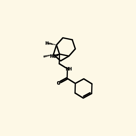 C[C@H]1CC2CCC[C@H]1[C@@]2(O)CNC(=O)C1CC=CCC1